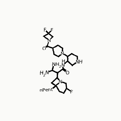 CCCCCC12CCC(F)CN1C(C(C(=O)NC1CNCCC1N1CCC(C(=O)N3CC(F)(F)C3)CC1)C(N)N)C2